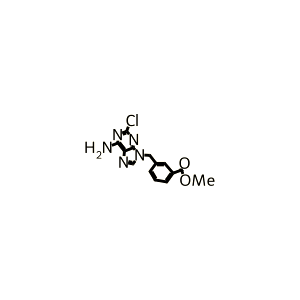 COC(=O)c1cccc(Cn2cnc3c(N)nc(Cl)nc32)c1